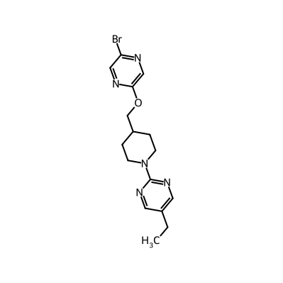 CCc1cnc(N2CCC(COc3cnc(Br)cn3)CC2)nc1